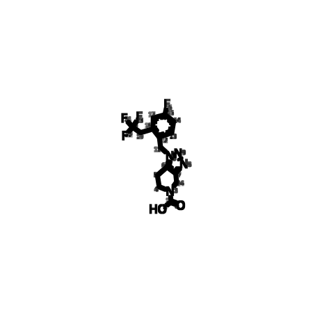 O=C(O)N1CCc2c(nnn2Cc2ccc(F)cc2CC(F)(F)F)C1